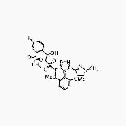 COc1cccc(OC)c1-n1c(NS(=O)(=O)C[C@H](O)c2ccc(F)cc2S(C)(=O)=O)nnc1-c1ccn(C)n1